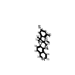 CN1c2c(F)cc(F)cc2C(C)(C)C12C=Nc1c(ccc3cnccc13)O2